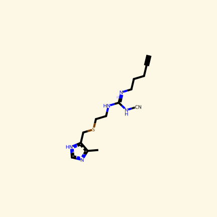 C#CCCC/N=C(\NC#N)NCCSCc1[nH]cnc1C